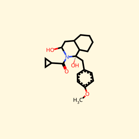 COc1ccc(C[C@]2(O)C3CCCCC3CC(O)N2C(=O)C2CC2)cc1